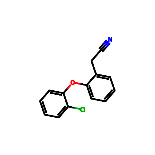 N#CCc1ccccc1Oc1ccccc1Cl